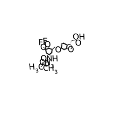 CC(C)(C)OC(=O)Nc1cc(COc2ccc3c(c2)OC[C@H]3CC(=O)O)c2c(c1)OC(F)(F)O2